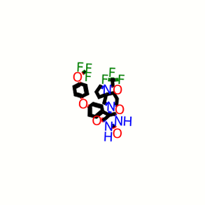 O=C1NC(=O)C(c2ccc(Oc3ccc(OC(F)(F)F)cc3)cc2)(N2CCCC3(CCCN3C(=O)C(F)(F)F)C2)C(=O)N1